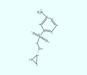 O=[N+]([O-])c1cccc(S(=O)(=O)CO[C@@H]2CO2)c1